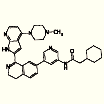 CN1CCN(c2ccnc3[nH]c(C4=NCCc5ccc(-c6cncc(NC(=O)CC7CCCCC7)c6)cc54)cc23)CC1